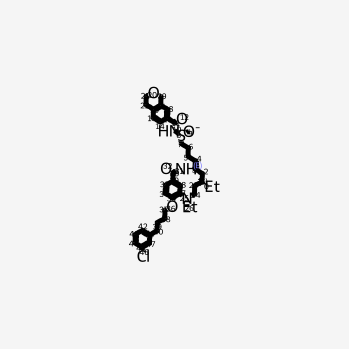 CC[C@@H](C/C=C/CCC[S+]([O-])NC(=O)c1ccc2c(c1)COCC2)CCN(CC)c1cc(C(N)=O)ccc1OCCCCc1cccc(Cl)c1